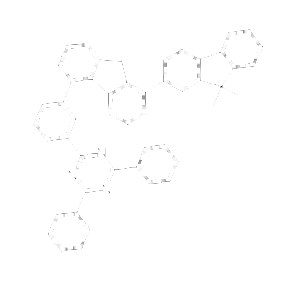 CC1(C)c2ccccc2-c2ccc(-c3cccc4c3Cc3cccc(-c5cccc(-c6nc(-c7ccccc7)nc(-c7ccccc7)n6)c5)c3-4)cc21